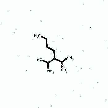 CCCCC(C(C)C)C(N)O